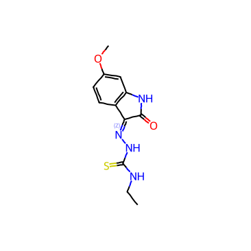 CCNC(=S)N/N=C1\C(=O)Nc2cc(OC)ccc21